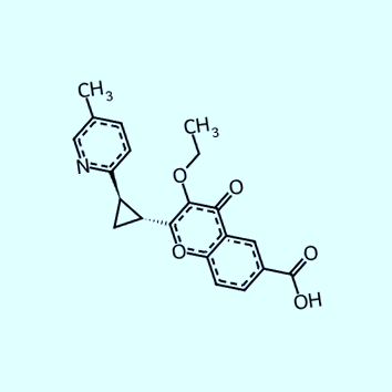 CCOc1c([C@@H]2C[C@H]2c2ccc(C)cn2)oc2ccc(C(=O)O)cc2c1=O